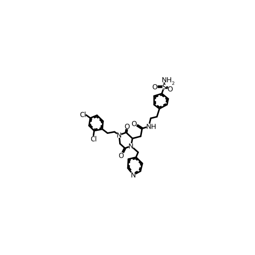 NS(=O)(=O)c1ccc(CCNC(=O)CC2C(=O)N(CCc3ccc(Cl)cc3Cl)CC(=O)N2Cc2ccncc2)cc1